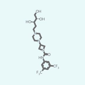 O=C(Nc1cc(C(F)(F)F)cc(C(F)(F)F)c1)N1CC(N2CCN(CC[C@@H](O)[C@@H](O)CO)CC2)C1